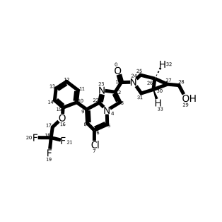 O=C(c1cn2cc(Cl)cc(-c3ccccc3OCC(F)(F)F)c2n1)N1C[C@H]2C(CO)[C@@H]2C1